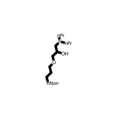 CCCCCCCCCCCCOCC(O)CN(CCC)CCC